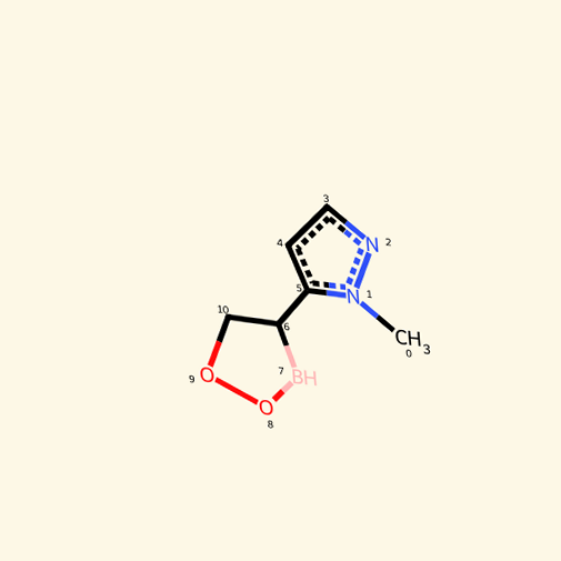 Cn1nccc1C1BOOC1